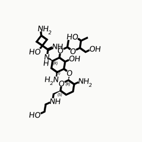 CC(OC(CO)C(C)O)OC1C(O)C(O[C@H]2O[C@H](CNCCO)CCC2N)[C@@H](N)C[C@H]1NC(=N)C1(O)CC(N)C1